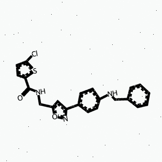 O=C(NCc1cc(-c2ccc(NCc3ccccc3)cc2)no1)c1ccc(Cl)s1